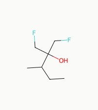 CCC(C)C(O)(CF)CF